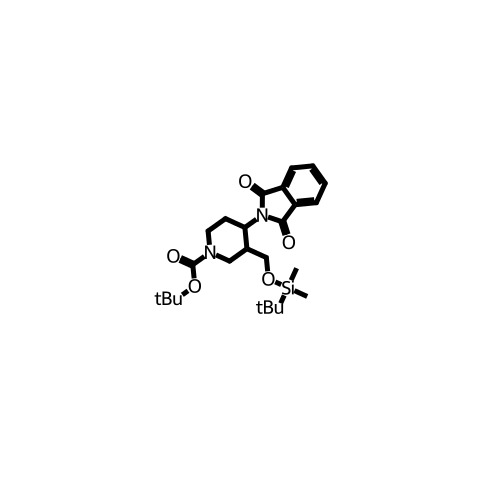 CC(C)(C)OC(=O)N1CCC(N2C(=O)c3ccccc3C2=O)C(CO[Si](C)(C)C(C)(C)C)C1